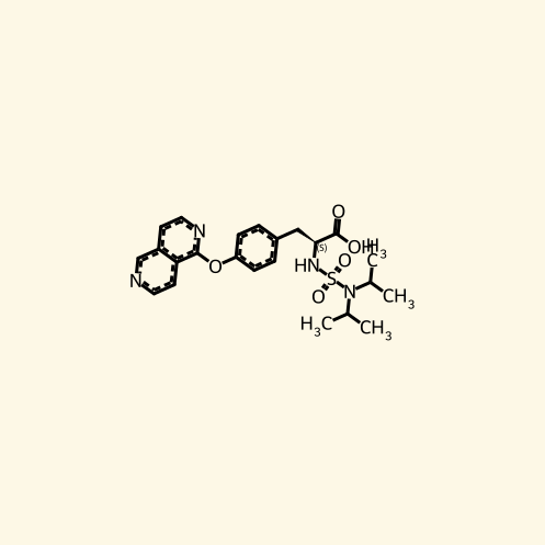 CC(C)N(C(C)C)S(=O)(=O)N[C@@H](Cc1ccc(Oc2nccc3cnccc23)cc1)C(=O)O